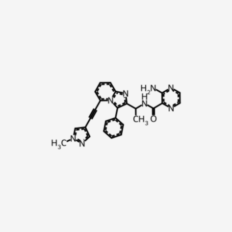 CC(NC(=O)c1nccnc1N)c1nc2cccc(C#Cc3cnn(C)c3)n2c1-c1ccccc1